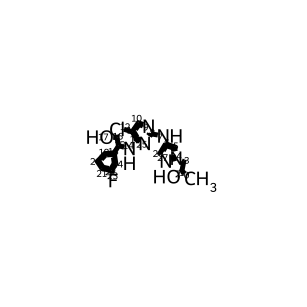 CC(O)Cn1cc(Nc2ncc(Cl)c(NC(CO)c3cccc(F)c3)n2)cn1